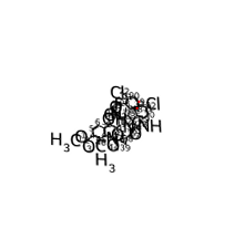 COC(=O)c1ccc(C(O)C[C@H]2[C@@H]([N+](=O)[O-])[C@H](c3cccc(Cl)c3F)[C@]3(C(=O)Nc4cc(Cl)ccc43)N2CC2CC2)c([N+](=O)[O-])c1C